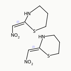 O=[N+]([O-])/C=C1/NCCCS1.O=[N+]([O-])/C=C1/NCCCS1